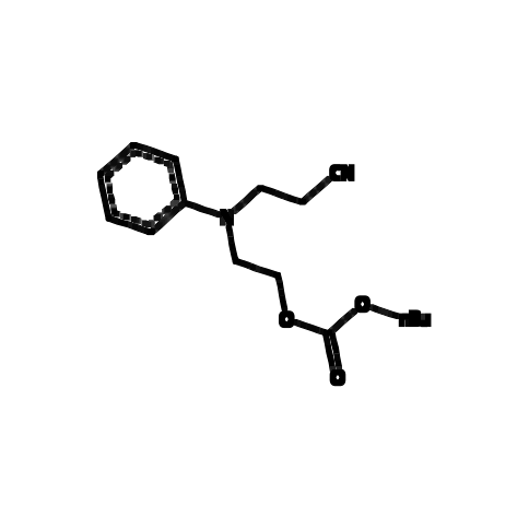 CCCCOC(=O)OCCN(CCC#N)c1ccccc1